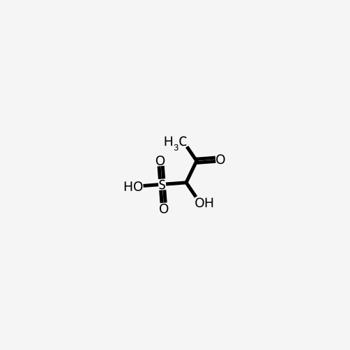 CC(=O)C(O)S(=O)(=O)O